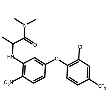 CC(Nc1cc(Oc2ccc(C(F)(F)F)cc2Cl)ccc1[N+](=O)[O-])C(=O)N(C)C